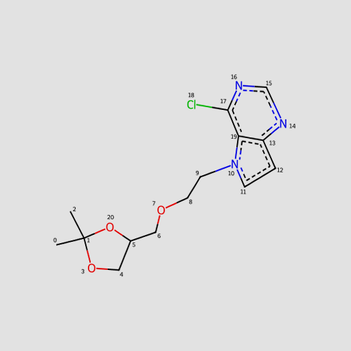 CC1(C)OCC(COCCn2ccc3ncnc(Cl)c32)O1